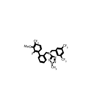 COc1c(C(F)(F)F)ccc(-c2ccccc2CN(Cc2cc(C(F)(F)F)cc(C(F)(F)F)c2)c2nnn(C)n2)c1F